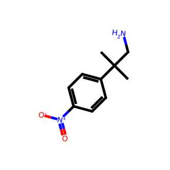 CC(C)(CN)c1ccc([N+](=O)[O-])cc1